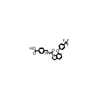 O=C(O)c1ccc(CNC(=O)N2CCc3cccc(Oc4ccc(C(F)(F)F)cc4)c32)cc1